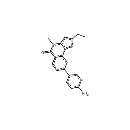 CCc1cc2n(C)c(=O)c3ccc(-c4ccc(N)nc4)cc3n2n1